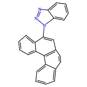 c1ccc2c(c1)ccc1cc(-n3nnc4ccccc43)c3ccccc3c12